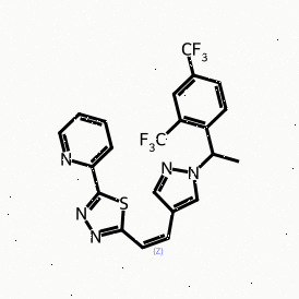 CC(c1ccc(C(F)(F)F)cc1C(F)(F)F)n1cc(/C=C\c2nnc(-c3ccccn3)s2)cn1